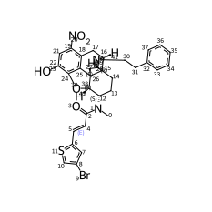 CN(C(=O)/C=C/c1cc(Br)cs1)[C@H]1CC[C@H]2[C@H]3Cc4c([N+](=O)[O-])cc(O)c5c4[C@@]2(CCN3CCc2ccccc2)[C@H]1O5